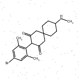 CNC1CCC2(CC1)CC(=O)C(c1c(C)cc(Br)cc1C)C(=O)C2